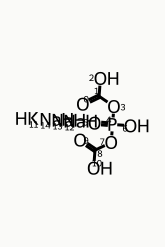 O=C(O)OP(=O)(O)OC(=O)O.[KH].[NaH].[NaH].[NaH]